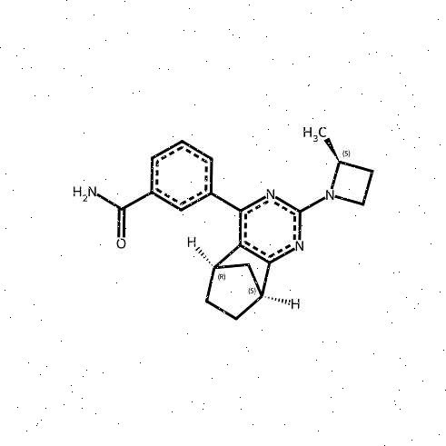 C[C@H]1CCN1c1nc(-c2cccc(C(N)=O)c2)c2c(n1)[C@H]1CC[C@@H]2C1